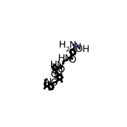 Cc1cc(C)c2cccc(OCc3c(C)ccc(S(=O)(=O)N4CCC[C@H]4C(=O)NCCCNC(=O)c4ccc(/C(N)=N\O)cc4)c3C)c2n1